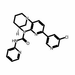 O=C(Nc1ccccn1)N1c2nc(-c3cncc(Cl)c3)ccc2N2CCC[C@H]1C2